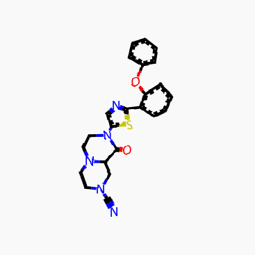 N#CN1CCN2CCN(c3cnc(-c4ccccc4Oc4ccccc4)s3)C(=O)C2C1